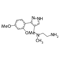 COc1ccc(-c2n[nH]cc2CN(C)CCN)c(OC)c1